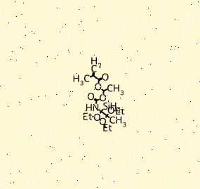 C=C(C)C(=O)OC(C)OC(=O)NC([SiH3])(OCC)C(C)(OCC)OCC